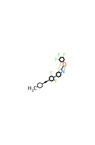 CC1CCC(C#Cc2cc(F)c(-c3ccc4nc(C(F)(F)Oc5cc(F)c(F)c(F)c5)sc4c3)c(F)c2)CC1